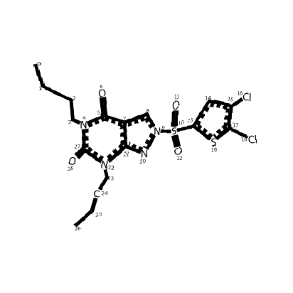 CCCCn1c(=O)c2cn(S(=O)(=O)c3cc(Cl)c(Cl)s3)nc2n(CCCC)c1=O